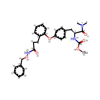 CN(C)C(=O)[C@H](Cc1ccc(Oc2ccccc2CCC(=O)NOCc2ccccc2)cc1)NC(=O)OC(C)(C)C